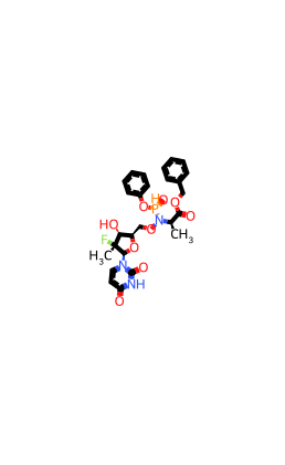 C[C@H](C(=O)OCc1ccccc1)N(OC[C@H]1O[C@@H](n2ccc(=O)[nH]c2=O)[C@](C)(F)[C@@H]1O)[PH](=O)Oc1ccccc1